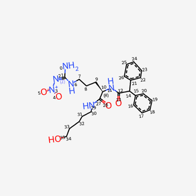 N/C(=N/[N+](=O)[O-])NCCC[C@@H](NC(=O)C(c1ccccc1)c1ccccc1)C(=O)NCCCCCO